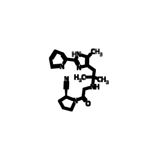 Cc1[nH]c(-c2ccccn2)nc1CC(C)(C)NCC(=O)N1CCC[C@H]1C#N